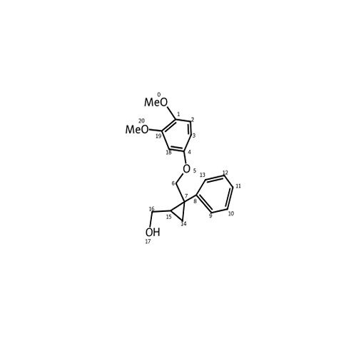 COc1ccc(OCC2(c3ccccc3)CC2CO)cc1OC